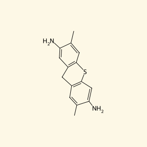 Cc1cc2c(cc1N)Cc1cc(C)c(N)cc1S2